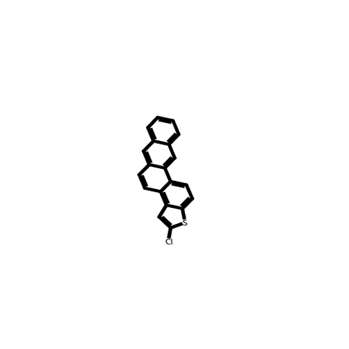 Clc1cc2c(ccc3c4cc5ccccc5cc4ccc23)s1